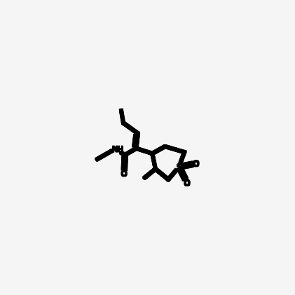 CC/C=C(\C(=O)NC)C1CCS(=O)(=O)CC1C